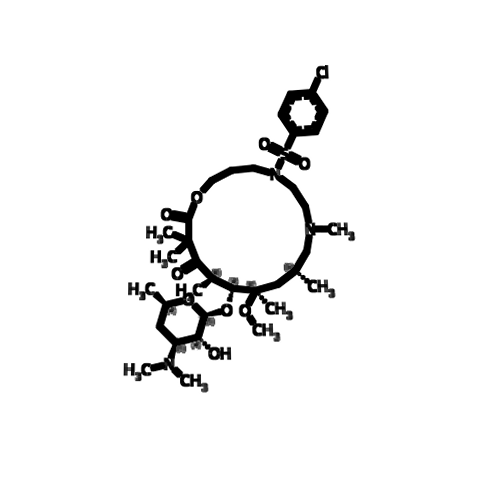 CO[C@]1(C)C[C@@H](C)CN(C)CCN(S(=O)(=O)c2ccc(Cl)cc2)CCCOC(=O)C(C)(C)C(=O)[C@H](C)[C@H]1O[C@@H]1O[C@H](C)C[C@H](N(C)C)[C@H]1O